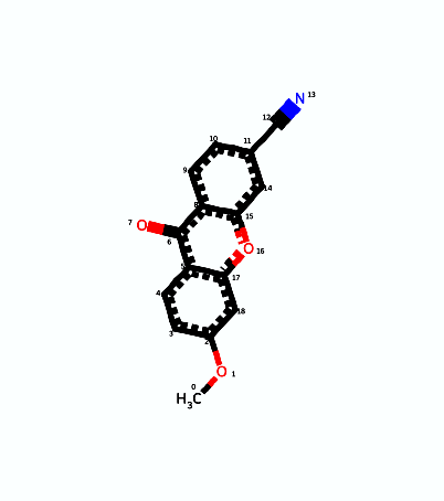 COc1ccc2c(=O)c3ccc(C#N)cc3oc2c1